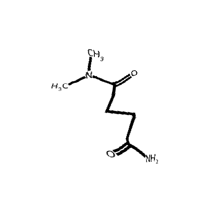 CN(C)C(=O)CCC(N)=O